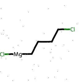 ClCCC[CH2][Mg][Cl]